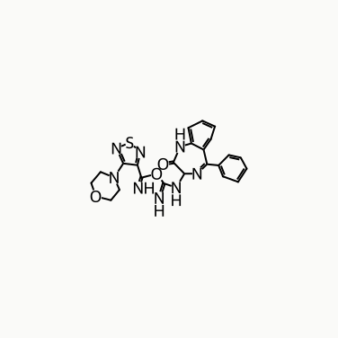 N=C(NC1N=C(c2ccccc2)c2ccccc2NC1=O)OC(=N)c1nsnc1N1CCOCC1